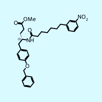 COC(=O)CC[C@@H](Cc1ccc(OCc2ccccc2)cc1)NC(=O)CCCCCCc1cccc([N+](=O)[O-])c1